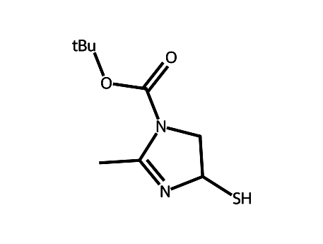 CC1=NC(S)CN1C(=O)OC(C)(C)C